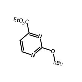 CCCCOc1nccc(C(=O)OCC)n1